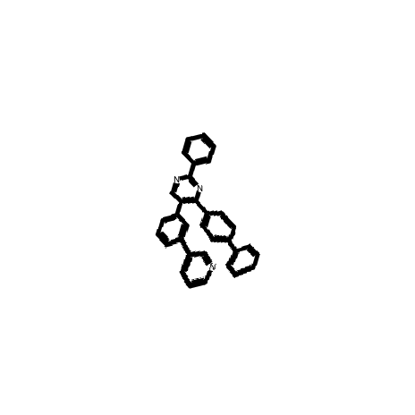 c1ccc(-c2ccc(-c3nc(-c4ccccc4)ncc3-c3cccc(-c4cccnc4)c3)cc2)cc1